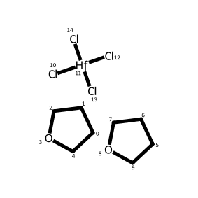 C1CCOC1.C1CCOC1.[Cl][Hf]([Cl])([Cl])[Cl]